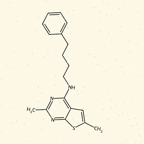 Cc1nc(NCCCCc2ccccc2)c2cc(C)sc2n1